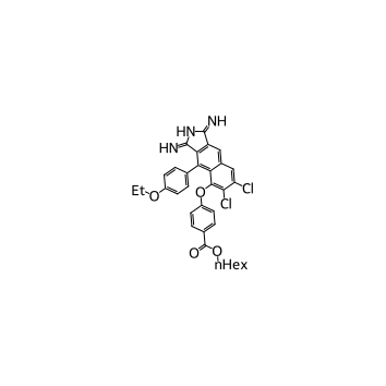 CCCCCCOC(=O)c1ccc(Oc2c(Cl)c(Cl)cc3cc4c(c(-c5ccc(OCC)cc5)c23)C(=N)NC4=N)cc1